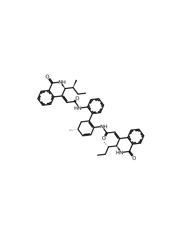 CC[C@H](C)[C@@H]1NC(=O)c2ccccc2/C1=C/C(=O)NC1=C(c2ccccc2NC(=O)/C=C2/c3ccccc3C(=O)N[C@H]2[C@@H](C)CC)C[C@@H](C)C=C1